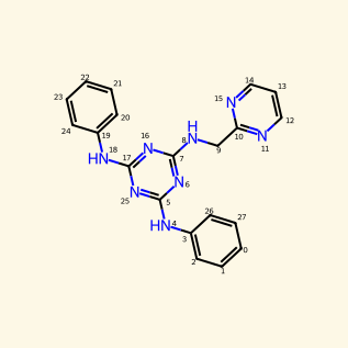 c1ccc(Nc2nc(NCc3ncccn3)nc(Nc3ccccc3)n2)cc1